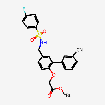 CC(C)(C)OC(=O)COc1ccc(CNS(=O)(=O)c2ccc(F)cc2)cc1-c1cccc(C#N)c1